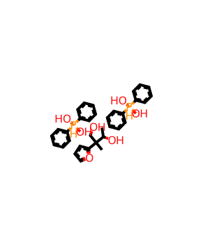 CC(O)C(C)(CO)c1ccco1.O[PH](O)(c1ccccc1)c1ccccc1.O[PH](O)(c1ccccc1)c1ccccc1